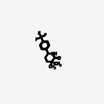 CC1(C)CCC(c2ccc(C(F)(F)F)cc2)NC1=O